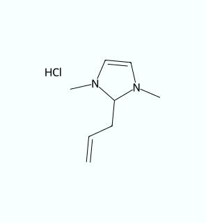 C=CCC1N(C)C=CN1C.Cl